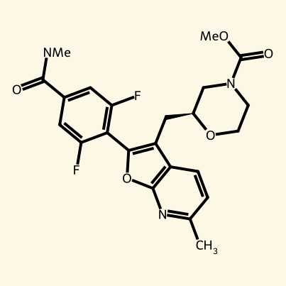 CNC(=O)c1cc(F)c(-c2oc3nc(C)ccc3c2C[C@H]2CN(C(=O)OC)CCO2)c(F)c1